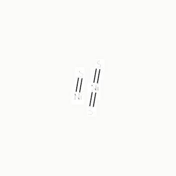 [S]=[Ni].[S]=[Ni]=[S]